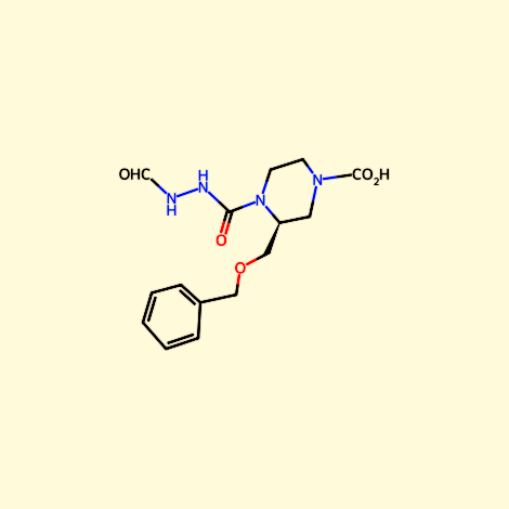 O=CNNC(=O)N1CCN(C(=O)O)C[C@H]1COCc1ccccc1